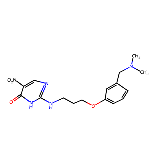 CN(C)Cc1cccc(OCCCNc2ncc([N+](=O)[O-])c(=O)[nH]2)c1